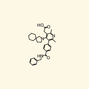 Cc1nc(C)c(-c2ccc(C(=O)NCc3ccccc3)cc2)c(N2CCC3(CCCCC3)C2)c1CC(=O)O